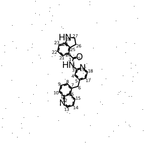 O=C(Nc1cc(Cc2cccc3ncccc23)ccn1)c1cccc2c1CCN2